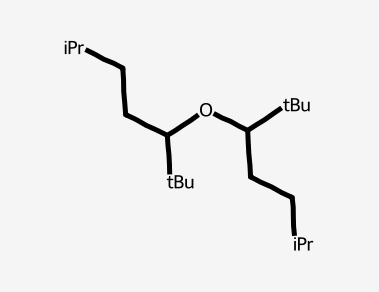 CC(C)CCC(OC(CCC(C)C)C(C)(C)C)C(C)(C)C